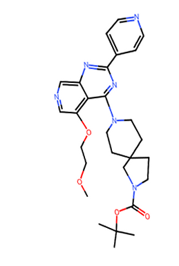 COCCOc1cncc2nc(-c3ccncc3)nc(N3CCC4(CCN(C(=O)OC(C)(C)C)C4)CC3)c12